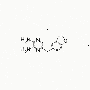 Nc1ncc(Cc2ccc3c(c2)CCO3)nc1N